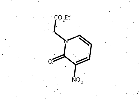 CCOC(=O)Cn1cccc([N+](=O)[O-])c1=O